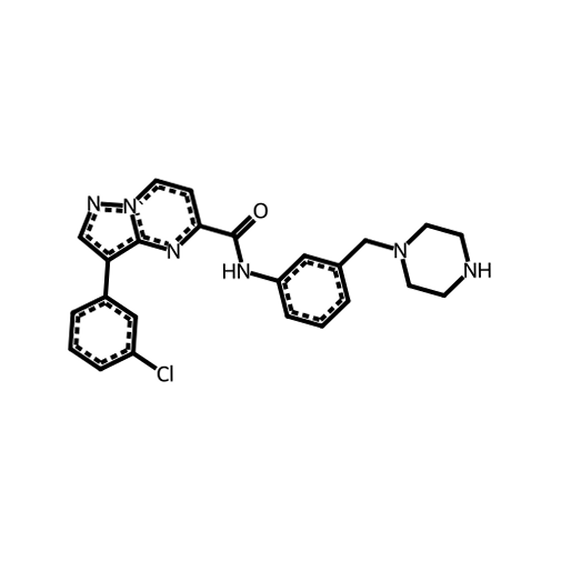 O=C(Nc1cccc(CN2CCNCC2)c1)c1ccn2ncc(-c3cccc(Cl)c3)c2n1